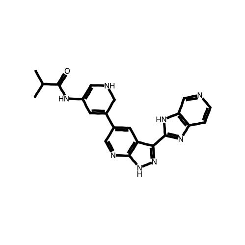 CC(C)C(=O)NC1=CNCC(c2cnc3[nH]nc(-c4nc5ccncc5[nH]4)c3c2)=C1